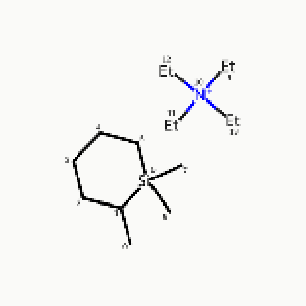 CC1CCCC[Si]1(C)C.CC[N+](CC)(CC)CC